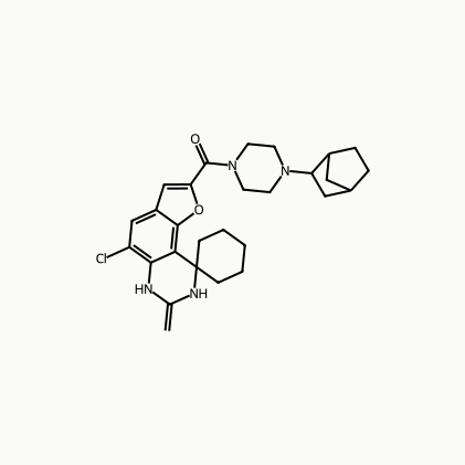 C=C1Nc2c(Cl)cc3cc(C(=O)N4CCN(C5CC6CCC5C6)CC4)oc3c2C2(CCCCC2)N1